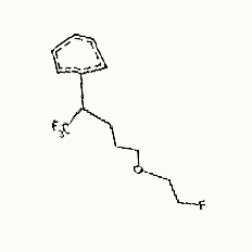 FCCOCCCC(c1ccccc1)C(F)(F)F